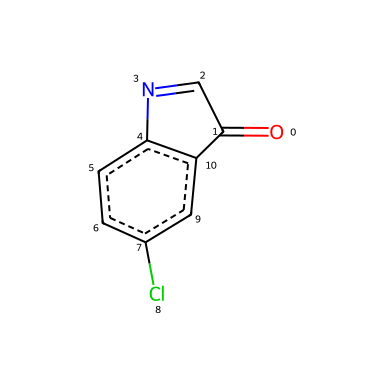 O=C1C=Nc2ccc(Cl)cc21